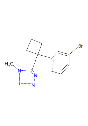 Cn1cnnc1C1(c2cccc(Br)c2)CCC1